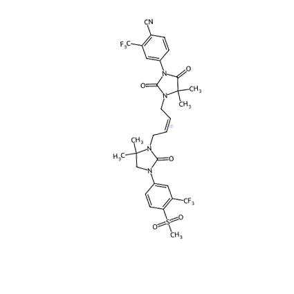 CC1(C)CN(c2ccc(S(C)(=O)=O)c(C(F)(F)F)c2)C(=O)N1C/C=C\CN1C(=O)N(c2ccc(C#N)c(C(F)(F)F)c2)C(=O)C1(C)C